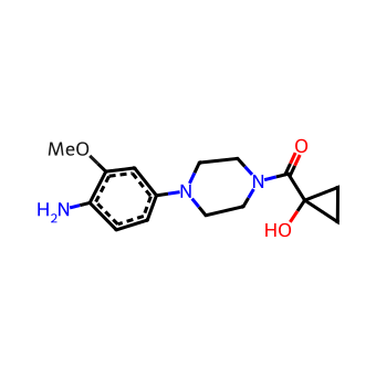 COc1cc(N2CCN(C(=O)C3(O)CC3)CC2)ccc1N